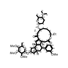 CC[C@H]1CCC[C@H](O[C@H]2CC[C@H](N(C)C)C(C)O2)[C@@H](C)C(=O)C2=C[C@@H]3C(C(c4cccc(OC)c4)C[C@@H]4C[C@@H](O[C@@H]5OC(C)[C@H](OC)[C@@H](OC)C5OC)C[C@H]43)[C@@H]2CC(=O)O1